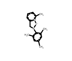 Cc1cc(C)c(N2[CH-][n+]3c(C)cccc3C2)c(C)c1